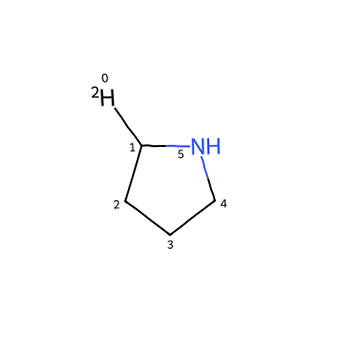 [2H]C1CCCN1